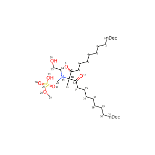 CCCCCCCCCCCCCCCCCC(=O)C(C)(C(=O)CCCCCCCCCCCCCCCCC)N(C)CCO.COS(=O)(=O)O